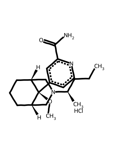 CCC[C@@H](C)N1C[C@H]2CCC[C@@H](C1)[C@@]2(OC)c1ccnc(C(N)=O)c1.Cl